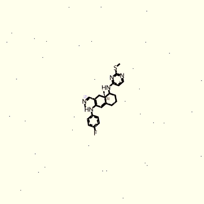 C/N=C\C1=C(Nc2ccc(F)cc2)C=C2CCCC(Nc3ccnc(SC)n3)[C@@]2(C)C1